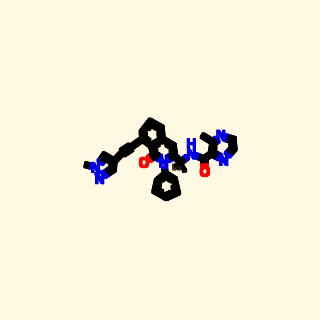 Cc1nccnc1C(=O)N[C@@H](C)c1cc2cccc(C#Cc3cnn(C)c3)c2c(=O)n1-c1ccccc1